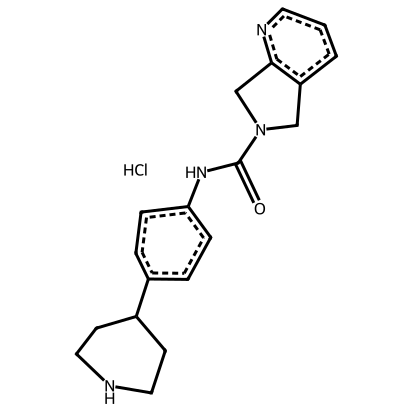 Cl.O=C(Nc1ccc(C2CCNCC2)cc1)N1Cc2cccnc2C1